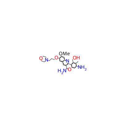 COc1cc2nc(-c3ccc(N)c(C)c3CO)c(C(N)=O)cc2cc1OCCCN1CCOCC1